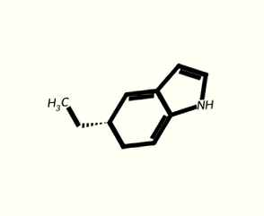 CC[C@@H]1C=c2cc[nH]c2=CC1